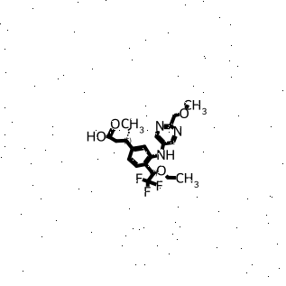 CCO[C@H](c1ccc([C@@H](CC)CC(=O)O)cc1Nc1cnc(COC)nc1)C(F)(F)F